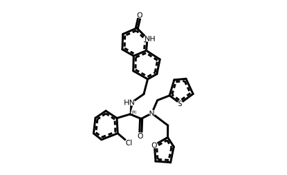 O=C([C@H](NCc1ccc2[nH]c(=O)ccc2c1)c1ccccc1Cl)N(Cc1ccco1)Cc1cccs1